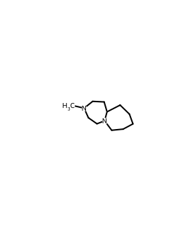 CN1CCC2CCCCCN2CC1